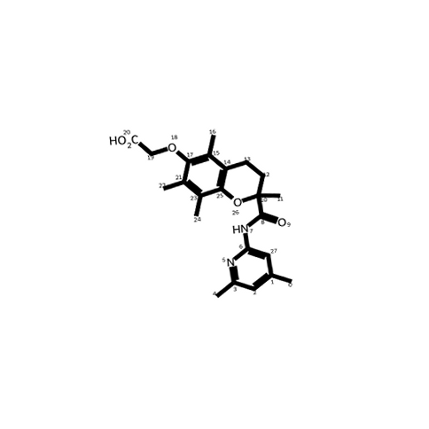 Cc1cc(C)nc(NC(=O)C2(C)CCc3c(C)c(OCC(=O)O)c(C)c(C)c3O2)c1